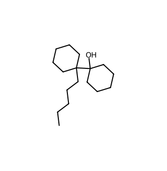 CCCCCC1(C2(O)CCCCC2)CCCCC1